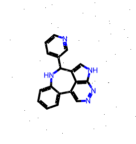 c1cncc(C2Nc3ccccc3-c3cnnc4[nH]cc2c34)c1